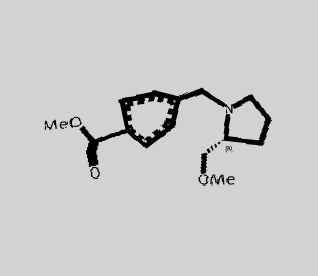 COC[C@H]1CCCN1Cc1ccc(C(=O)OC)cc1